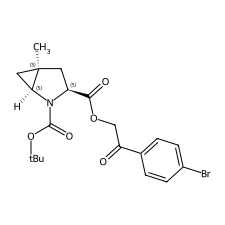 CC(C)(C)OC(=O)N1[C@H]2C[C@@]2(C)C[C@H]1C(=O)OCC(=O)c1ccc(Br)cc1